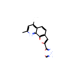 Cc1cc(C(F)(F)F)c2ccc3cc(-c4nnco4)oc3c2n1